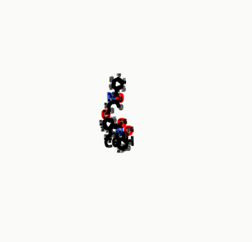 Cc1oc(-c2ccccc2)nc1CCOc1ccc(CCC(=O)O)c(C(=O)N2Cc3ccccc3C2=O)c1